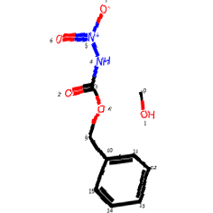 CO.O=C(N[N+](=O)[O-])OCc1ccccc1